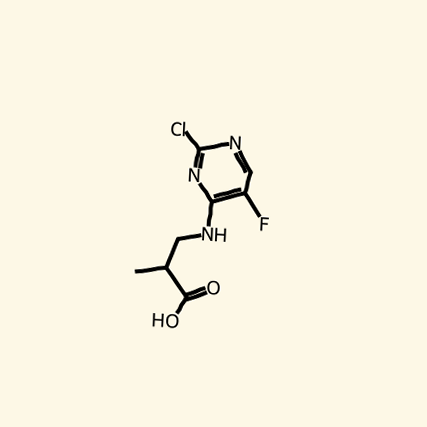 CC(CNc1nc(Cl)ncc1F)C(=O)O